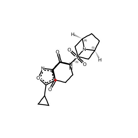 O=C1CCC(S(=O)(=O)N2[C@@H]3CC[C@H]2C[C@H](NC(=O)c2cc(C4CC4)on2)C3)CC1